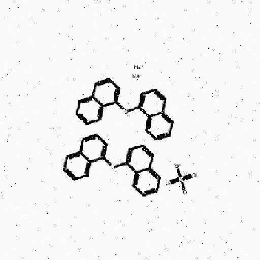 O=S(=O)([O-])[O-].[Na+].[Na+].c1ccc2c(Oc3cccc4ccccc34)cccc2c1.c1ccc2c(Oc3cccc4ccccc34)cccc2c1